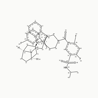 Cc1nc2ccccc2n1[C@H]1C[C@H]2CC[C@@H](C1)N2CCC1(c2cccc(F)c2)CCN(C(=O)c2cc(S(=O)(=O)NC(C)C)c(F)cc2F)CC1